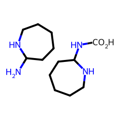 NC1CCCCCN1.O=C(O)NC1CCCCCN1